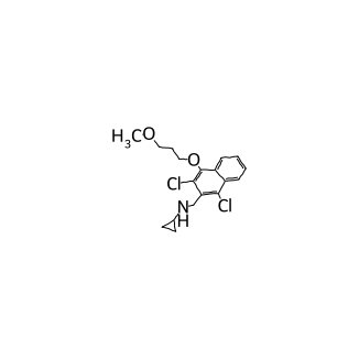 COCCCOc1c(Cl)c(CNC2CC2)c(Cl)c2ccccc12